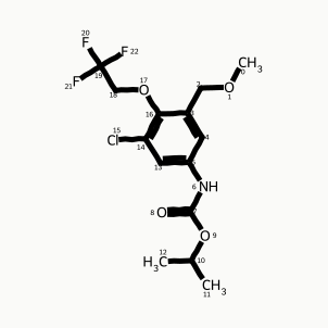 COCc1cc(NC(=O)OC(C)C)cc(Cl)c1OCC(F)(F)F